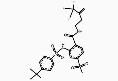 C=C(CCNC(=O)c1ccc(S(C)(=O)=O)cc1NS(=O)(=O)c1ccc(C(C)(C)C)cc1)C(F)(F)F